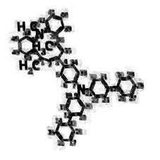 C=C1/C=C(c2ccc(N(c3ccc(-c4ccccc4)cc3)c3ccc(-c4ccccc4)cc3)cc2)\C=C(/C)c2ccccc2N(C)c2ccccc21